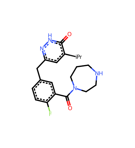 CC(C)c1cc(Cc2ccc(F)c(C(=O)N3CCCNCC3)c2)n[nH]c1=O